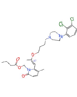 CCCC(=O)OCn1c(/C=C(\C)OCCCCN2CCN(c3cccc(Cl)c3Cl)CC2)c(C)ccc1=O